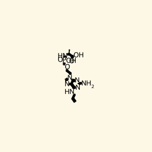 C=CCNc1nc(N)nc2c1ncn2CCOCP(=O)(O)N[C@@H](C)C(=O)O